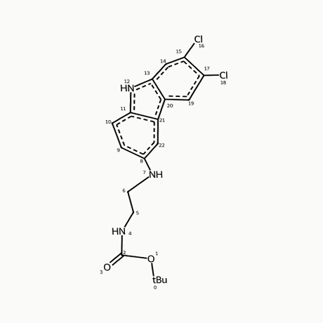 CC(C)(C)OC(=O)NCCNc1ccc2[nH]c3cc(Cl)c(Cl)cc3c2c1